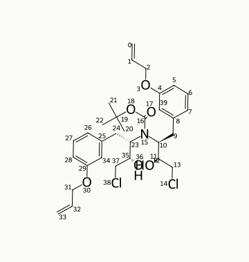 C=CCOc1cccc(C[C@@H]([C@H](O)CCl)N(C(=O)OC(C)(C)C)[C@@H](Cc2cccc(OCC=C)c2)[C@H](O)CCl)c1